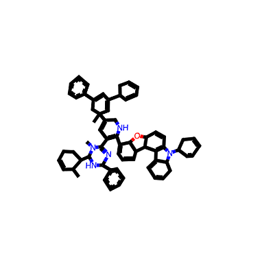 CC1C=CCCC1C1NC(c2ccccc2)N=C(C2=C(C3=CC=CC4C3OC3C=CC5=C(C6=CC=CCC6N5C5C=CC=CC5)C34)NCC(C3(C)C=C(C4C=CC=CC4)C=C(c4ccccc4)C3)=C2)N1C